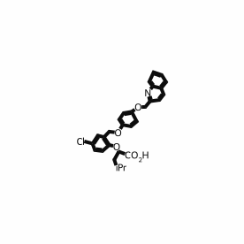 CC(C)CC(Oc1ccc(Cl)cc1COc1ccc(OCc2ccc3ccccc3n2)cc1)C(=O)O